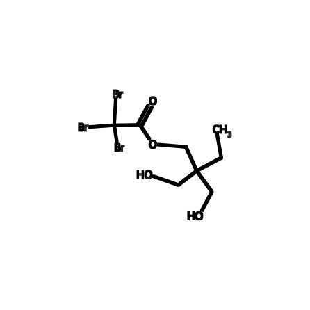 CCC(CO)(CO)COC(=O)C(Br)(Br)Br